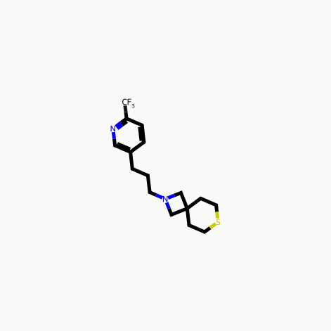 FC(F)(F)c1ccc(CCCN2CC3(CCSCC3)C2)cn1